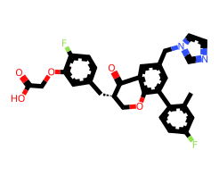 Cc1cc(F)ccc1-c1cc(Cn2ccnc2)cc2c1OC[C@H](Cc1ccc(F)c(OCC(=O)O)c1)C2=O